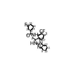 O=C(NCC(Nc1nc2ccccc2[nH]1)c1cccc(C(F)(F)F)c1)c1cccc(F)c1